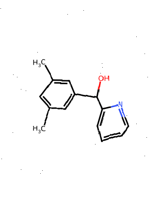 Cc1cc(C)cc(C(O)c2ccccn2)c1